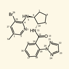 Cc1cnc(N[C@H]2CCC[C@@H]2NC(=O)c2ccccc2-n2nccn2)c(Br)c1